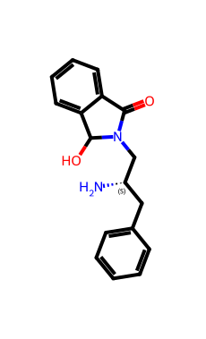 N[C@@H](Cc1ccccc1)CN1C(=O)c2ccccc2C1O